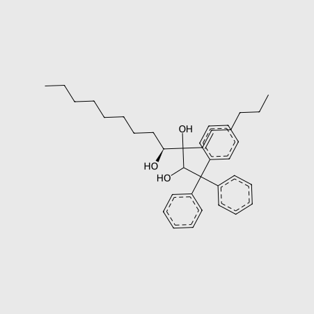 CCCCC=CC(O)(C(O)C(c1ccccc1)(c1ccccc1)c1ccccc1)[C@@H](O)CCCCCCCC